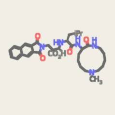 CC(C)C[C@H](N[C@H](CCN1C(=O)c2cc3ccccc3cc2C1=O)C(=O)O)C(=O)NC1CCCCN(C)CCCCCNC1=O